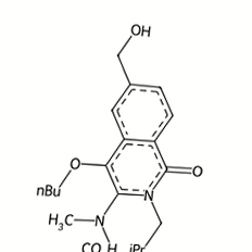 CCCCOc1c(N(C)C(=O)O)n(CC(C)C)c(=O)c2ccc(CO)cc12